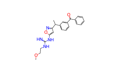 COCCNC(=N)Nc1cc(C(C)c2cccc(C(=O)c3ccccc3)c2)no1